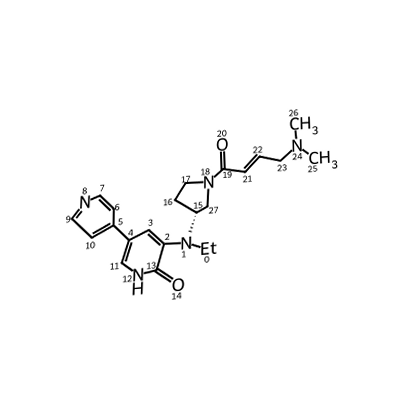 CCN(c1cc(-c2ccncc2)c[nH]c1=O)[C@@H]1CCN(C(=O)/C=C/CN(C)C)C1